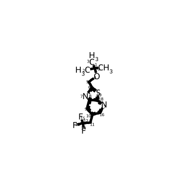 CC(C)(C)OCc1nc2cc(CC(F)(F)F)cnc2s1